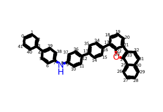 c1ccc(-c2ccc(Nc3ccc(-c4ccc(-c5cccc6c5oc5c7ccccc7ccc65)cc4)cc3)cc2)cc1